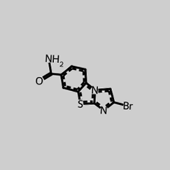 NC(=O)c1ccc2c(c1)sc1nc(Br)cn12